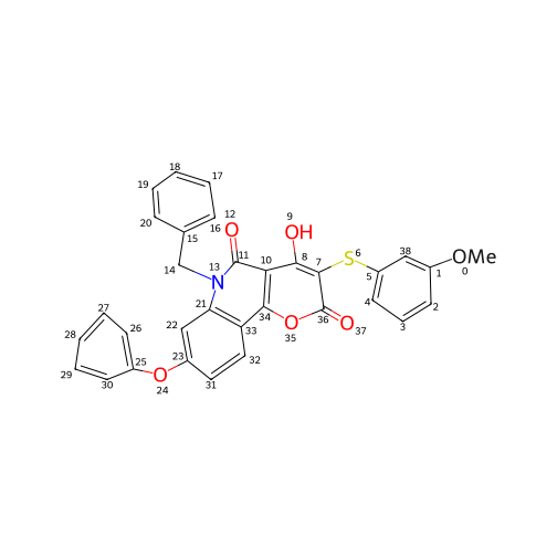 COc1cccc(Sc2c(O)c3c(=O)n(Cc4ccccc4)c4cc(Oc5ccccc5)ccc4c3oc2=O)c1